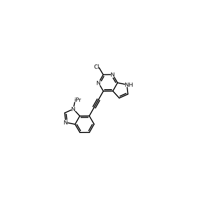 CC(C)n1cnc2cccc(C#Cc3nc(Cl)nc4[nH]ccc34)c21